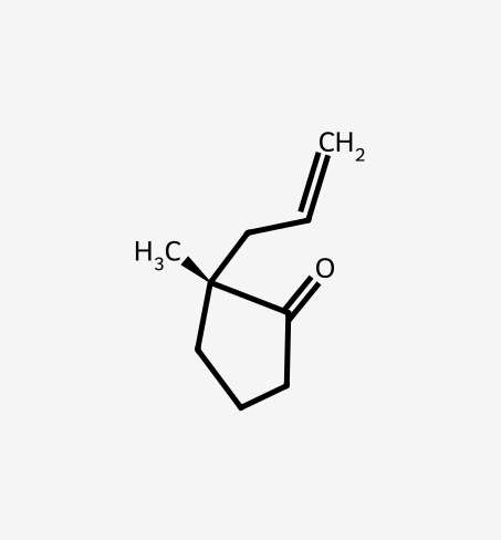 C=CC[C@@]1(C)CCCC1=O